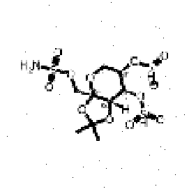 CC1(C)O[C@H]2[C@H](O[SH](=O)=O)[C@H](O[SH](=O)=O)CO[C@@]2(COS(N)(=O)=O)O1